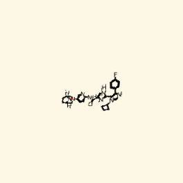 CN1[C@@H]2CC[C@H]1CN(c1ccc(NC(=O)c3c[nH]c(-c4c(-c5ccc(F)cc5)ncn4C4CCC4)n3)nc1)C2